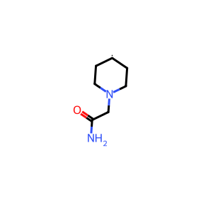 NC(=O)CN1CC[CH]CC1